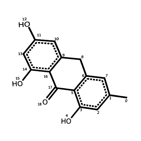 Cc1cc(O)c2c(c1)Cc1cc(O)cc(O)c1C2=O